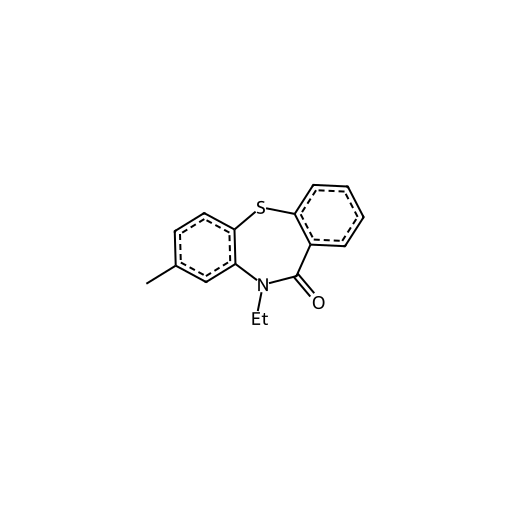 CCN1C(=O)c2ccccc2Sc2ccc(C)cc21